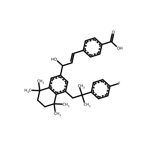 CC(C)(Cc1cc(C(O)C=Cc2ccc(C(=O)O)cc2)cc2c1C(C)(C)CCC2(C)C)c1ccc(F)cc1